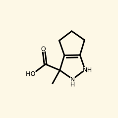 CC1(C(=O)O)NNC2=C1CCC2